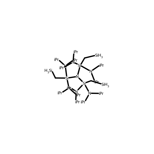 CC(C)N(C(C)C)[Si](C[SiH3])(N(C(C)C)C(C)C)N([Si](C[SiH3])(N(C(C)C)C(C)C)N(C(C)C)C(C)C)[Si](C[SiH3])(N(C(C)C)C(C)C)N(C(C)C)C(C)C